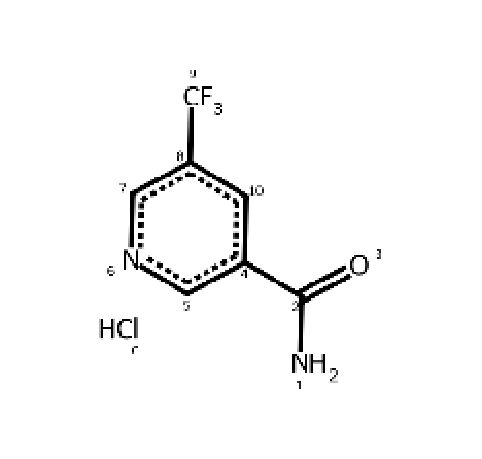 Cl.NC(=O)c1cncc(C(F)(F)F)c1